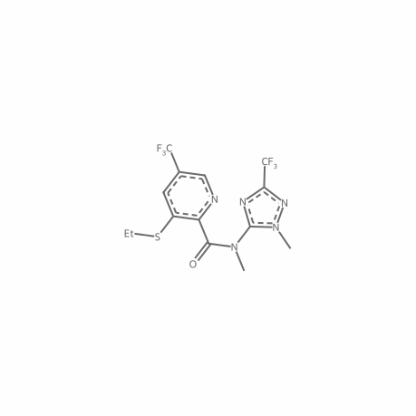 CCSc1cc(C(F)(F)F)cnc1C(=O)N(C)c1nc(C(F)(F)F)nn1C